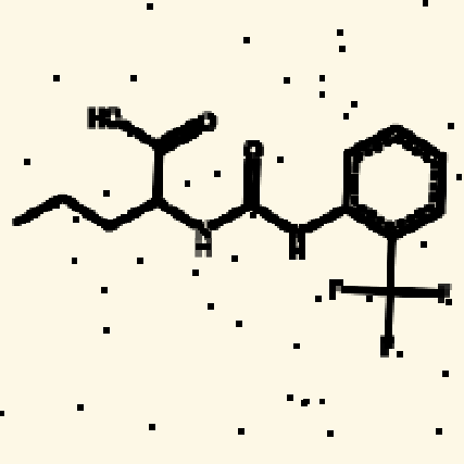 CCCC(NC(=O)Nc1ccccc1C(F)(F)F)C(=O)O